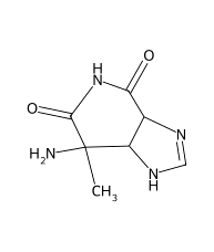 CC1(N)C(=O)NC(=O)C2N=CNC21